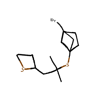 CC(C)C12CCC(SC(C)(C)CC3CCS3)(C1)C2